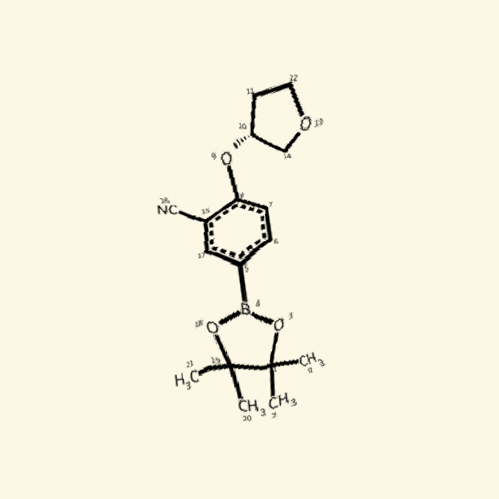 CC1(C)OB(c2ccc(O[C@@H]3CCOC3)c(C#N)c2)OC1(C)C